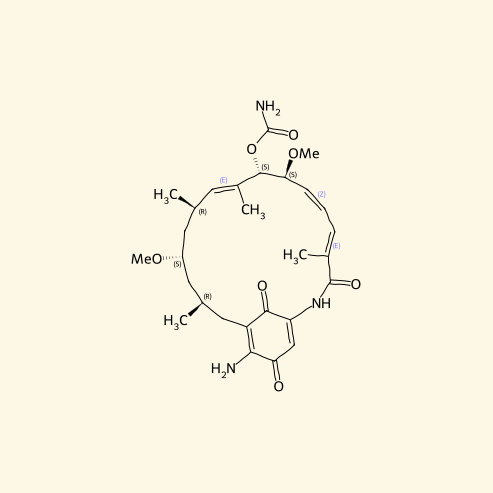 CO[C@H]1C[C@H](C)CC2=C(N)C(=O)C=C(NC(=O)/C(C)=C/C=C\[C@H](OC)[C@@H](OC(N)=O)/C(C)=C/[C@H](C)C1)C2=O